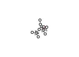 c1ccc(-c2ccc3c(c2)c2ccccc2n3-c2ccc(-c3nc(-c4ccccc4)nc(-c4ccccc4)n3)cc2-c2nc(-c3ccccc3)c3sc4ccccc4c3n2)cc1